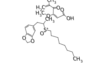 C=C(C)C(=O)/C(=C\C(=O)O)OC.CCCCCCCC[S+]([O-])C(C)Cc1ccc2c(c1)OCO2